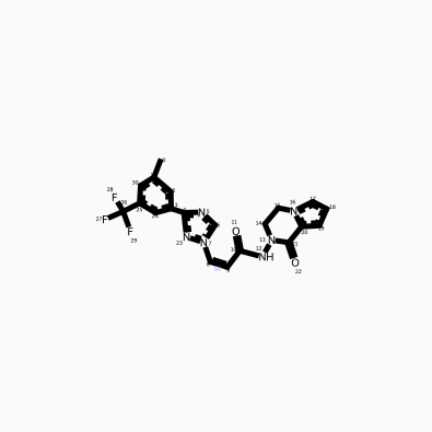 Cc1cc(-c2ncn(/C=C\C(=O)NN3CCn4cccc4C3=O)n2)cc(C(F)(F)F)c1